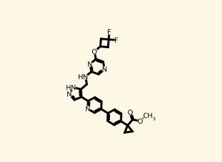 COC(=O)C1(c2ccc(-c3ccc(-c4cn[nH]c4CNc4cncc(OC5CC(F)(F)C5)n4)nc3)cc2)CC1